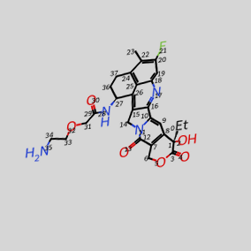 CC[C@@]1(O)C(=O)OCc2c1cc1n(c2=O)Cc2c-1nc1cc(F)c(C)c3c1c2[C@@H](NC(=O)COCCN)CC3